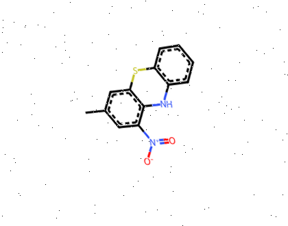 Cc1cc2c(c([N+](=O)[O-])c1)Nc1ccccc1S2